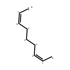 C/C=C\CCC/C=C\I